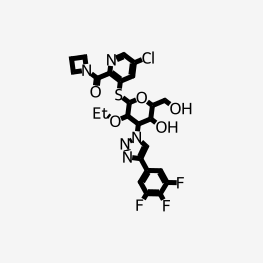 CCOC1C(Sc2cc(Cl)cnc2C(=O)N2CCC2)OC(CO)C(O)C1n1cc(-c2cc(F)c(F)c(F)c2)nn1